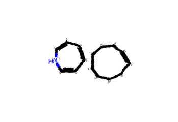 C1=CC=CNC=C1.C1=CCCCCCCC1